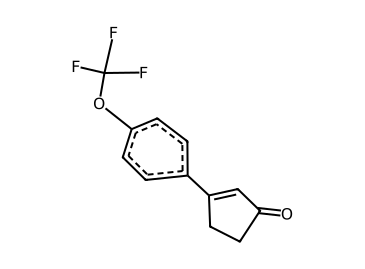 O=C1C=C(c2ccc(OC(F)(F)F)cc2)CC1